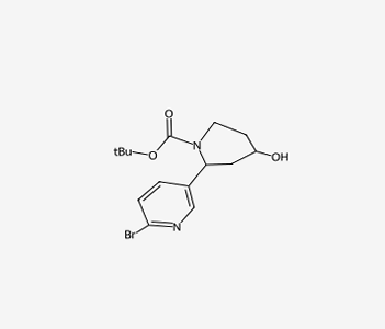 CC(C)(C)OC(=O)N1CCC(O)CC1c1ccc(Br)nc1